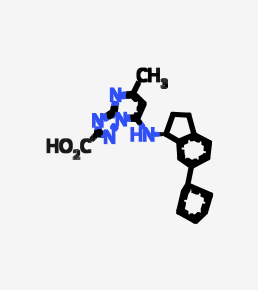 Cc1cc(N[C@H]2CCc3ccc(-c4ccccc4)cc32)n2nc(C(=O)O)nc2n1